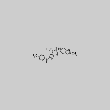 CC(NC(=O)C1=Cc2cn(C)nc2CN1)c1cnc(Nc2ccc(C(F)(F)F)cc2)s1